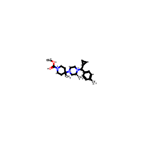 C[C@H]1CN(C2(C)CCN(C(=O)OC(C)(C)C)CC2)CCN1C(c1ccc(C(F)(F)F)cc1)C1CC1